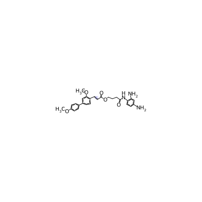 COc1ccc(-c2ccc(/C=C/C(=O)OCCCC(=O)Nc3ccc(N)cc3N)c(OC)c2)cc1